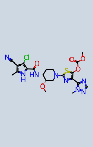 COC(=O)Oc1sc(N2CC[C@@H](NC(=O)c3[nH]c(C)c(C#N)c3Cl)[C@@H](OC)C2)nc1-c1ncnn1C